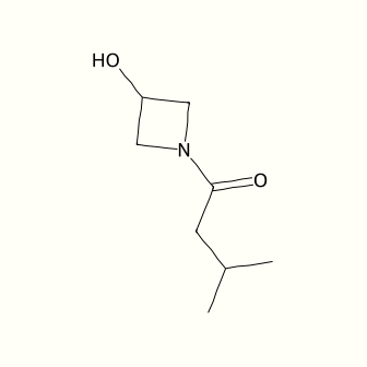 CC(C)CC(=O)N1CC(O)C1